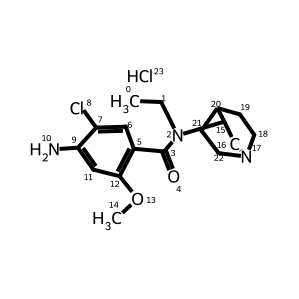 CCN(C(=O)c1cc(Cl)c(N)cc1OC)C1CN2CCC1CC2.Cl